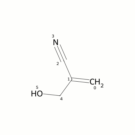 C=C(C#N)CO